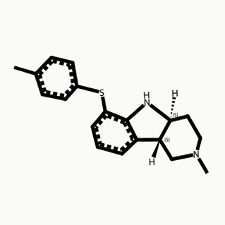 Cc1ccc(Sc2cccc3c2N[C@H]2CCN(C)C[C@H]32)cc1